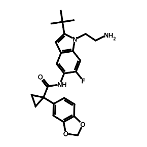 CC(C)(C)c1cc2cc(NC(=O)C3(c4ccc5c(c4)OCO5)CC3)c(F)cc2n1CCN